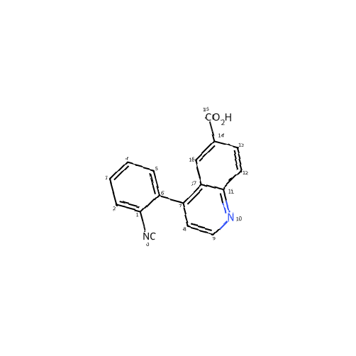 [C-]#[N+]c1ccccc1-c1ccnc2ccc(C(=O)O)cc12